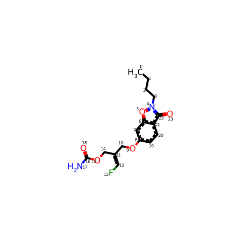 CCCCn1oc2cc(OCC(=CF)COC(N)=O)ccc2c1=O